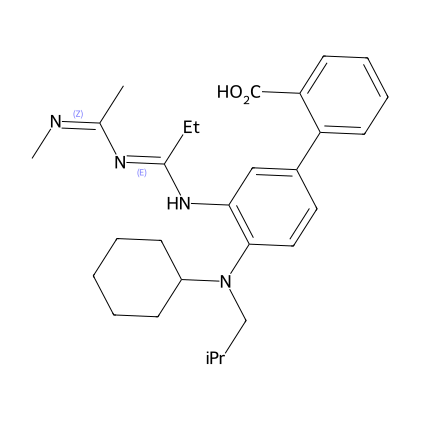 CC/C(=N\C(C)=N/C)Nc1cc(-c2ccccc2C(=O)O)ccc1N(CC(C)C)C1CCCCC1